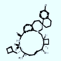 C[C@@H]1C/C=C/[C@H](O)[C@@H]2CC[C@H]2CN2C[C@@]3(CCCc4cc(Cl)ccc43)CCc3ccc(cc32)C(=O)NS(=O)(=O)[C@H]1CC1CCC1